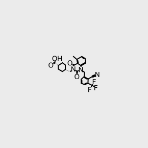 Cc1cccc2c1c(=O)n(C[C@H]1CC[C@@H](C(=O)O)CC1)c(=O)n2Cc1cccc(C(F)(F)F)c1C#N